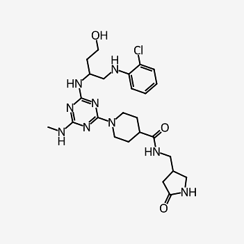 CNc1nc(NC(CCO)CNc2ccccc2Cl)nc(N2CCC(C(=O)NCC3CNC(=O)C3)CC2)n1